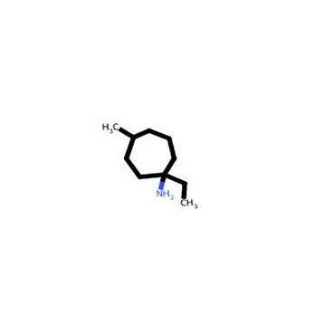 CCC1(N)CCCC(C)CC1